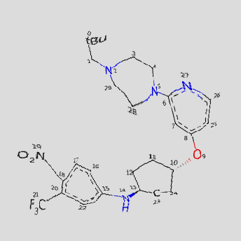 CC(C)(C)CN1CCN(c2cc(O[C@H]3CC[C@H](Nc4ccc([N+](=O)[O-])c(C(F)(F)F)c4)CC3)ccn2)CC1